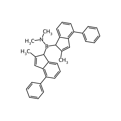 CC1=Cc2c(-c3ccccc3)cccc2C1B(C1C(C)=Cc2c(-c3ccccc3)cccc21)N(C)C